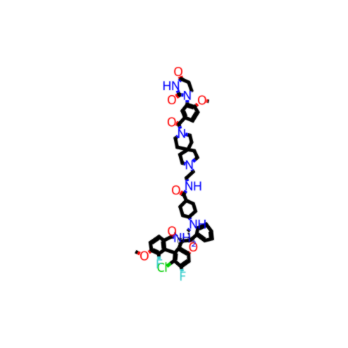 COc1ccc(C(=O)N2CCC3(CCN(CCNC(=O)C4CCC(NC[C@]5(c6ccccc6)Oc6cc(F)c(Cl)c(-c7c(C(N)=O)ccc(OC)c7F)c6[C@@H]5C)CC4)CC3)CC2)cc1N1CCC(=O)NC1=O